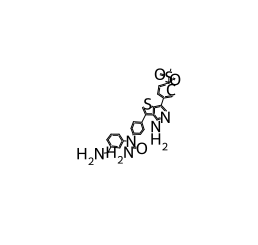 CS(=O)(=O)c1ccc(-c2cnc(N)c3c(-c4ccc(N(C(N)=O)c5cccc(CN)c5)cc4)csc23)cc1